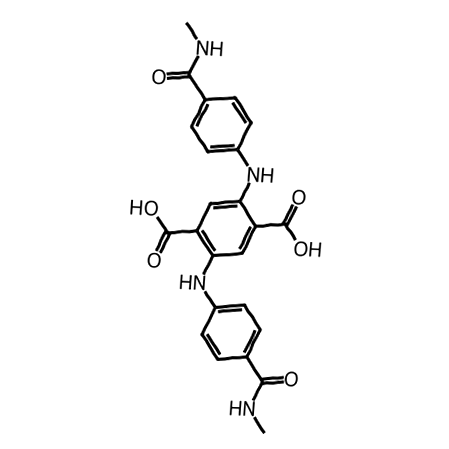 CNC(=O)c1ccc(Nc2cc(C(=O)O)c(Nc3ccc(C(=O)NC)cc3)cc2C(=O)O)cc1